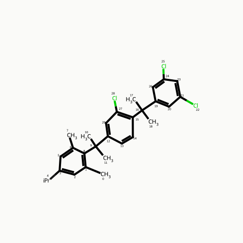 Cc1cc(C(C)C)cc(C)c1C(C)(C)c1ccc(C(C)(C)c2cc(Cl)cc(Cl)c2)c(Cl)c1